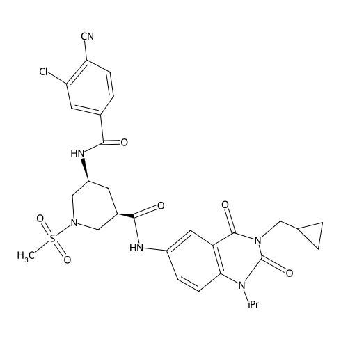 CC(C)n1c(=O)n(CC2CC2)c(=O)c2cc(NC(=O)[C@@H]3C[C@H](NC(=O)c4ccc(C#N)c(Cl)c4)CN(S(C)(=O)=O)C3)ccc21